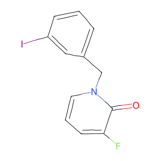 O=c1c(F)cccn1Cc1cccc(I)c1